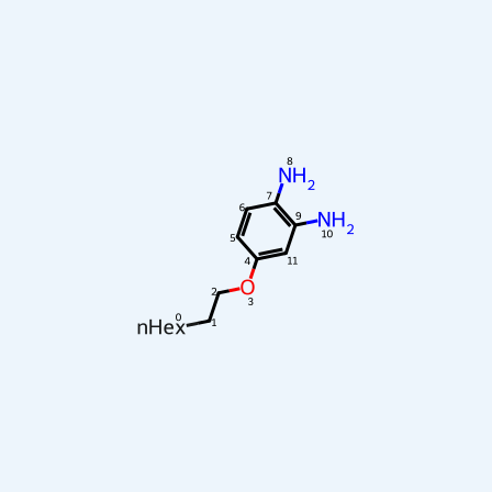 CCCCCCCCOc1ccc(N)c(N)c1